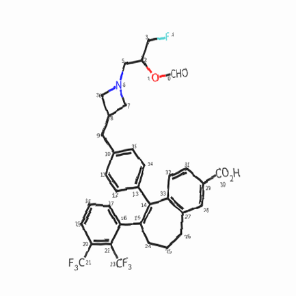 O=COC(CF)CN1CC(Cc2ccc(C3=C(c4cccc(C(F)(F)F)c4C(F)(F)F)CCCc4cc(C(=O)O)ccc43)cc2)C1